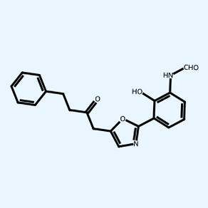 O=CNc1cccc(-c2ncc(CC(=O)CCc3ccccc3)o2)c1O